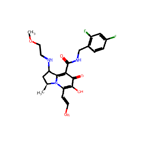 COCCNC1C[C@H](C)n2c(/C=C/O)c(O)c(=O)c(C(=O)NCc3ccc(F)cc3F)c21